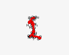 CCOCc1nc2c(NC(=O)[C@@H](NC(=O)OC(C)(C)C)C(C)C)nc3ccccc3c2n1CC(C)(C)OCCNC(=O)OCc1ccc(NC(=O)[C@H](CCCNC(N)=O)NC(=O)[C@@H](NC(=O)CCCCCN2C(=O)C=CC2=O)C(C)C)cc1